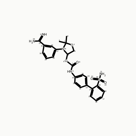 CC1(C)OCC(OC(=O)Nc2ccc(-c3ccccc3S(N)(=O)=O)cc2)N1c1cccc(C(=N)N)c1